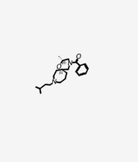 CC(C)CCN1CCC[C@]2(CC1)CN(C(=O)c1ccccc1)C[C@@H](C)O2